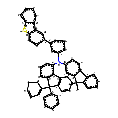 CC1(C)c2ccccc2-c2ccc(N(c3cccc(-c4ccc5sc6ccccc6c5c4)c3)c3cccc4c3C3=C(C=CCC3)C4(C3=CC=CCC3)c3ccccc3)cc21